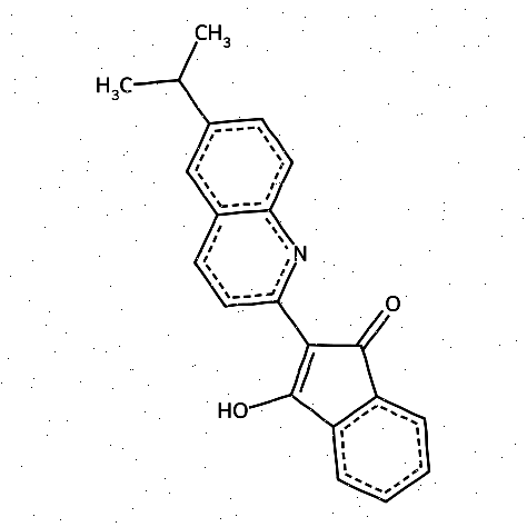 CC(C)c1ccc2nc(C3=C(O)c4ccccc4C3=O)ccc2c1